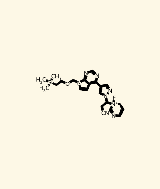 C[Si](C)(C)CCOCn1ccc2c(-c3cnn(C(CC#N)[N+]4(F)C=NC=CC4)c3)ncnc21